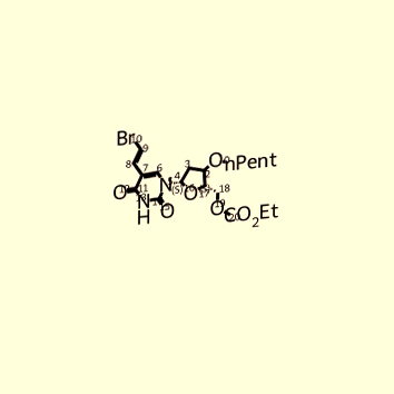 CCCCCOC1C[C@@H](n2cc(C=CBr)c(=O)[nH]c2=O)O[C@H]1COC(=O)OCC